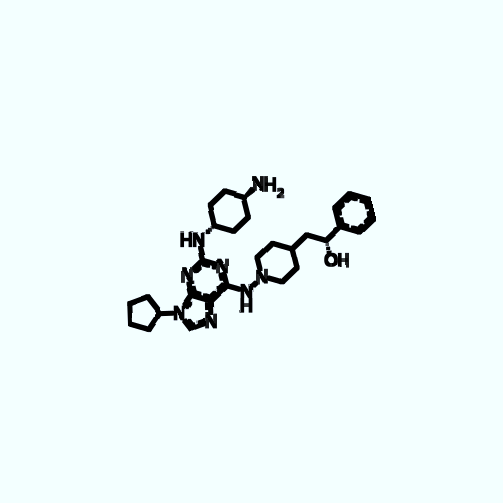 N[C@H]1CC[C@H](Nc2nc(NN3CCC(C[C@@H](O)c4ccccc4)CC3)c3ncn(C4CCCC4)c3n2)CC1